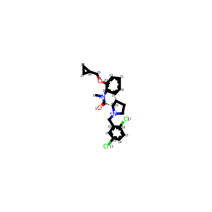 CN(C(=O)[C@@H]1CCCN1Cc1cc(Cl)ccc1Cl)c1ccccc1OCC1CC1